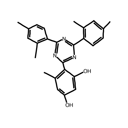 Cc1ccc(-c2nc(-c3ccc(C)cc3C)nc(-c3c(C)cc(O)cc3O)n2)c(C)c1